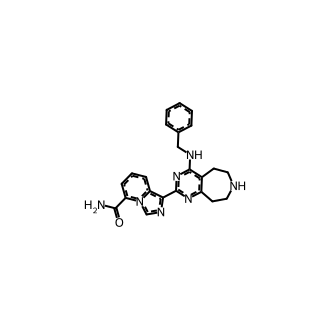 NC(=O)c1cccc2c(-c3nc4c(c(NCc5ccccc5)n3)CCNCC4)ncn12